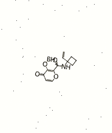 BOc1c(C(=O)NC2(C=C)CCC2)occc1=O